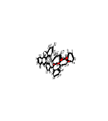 c1ccc(-c2ccc(N(c3ccccc3-c3cc4ccccc4c4ccccc34)c3cccc4oc5c6ccccc6ccc5c34)cc2)cc1